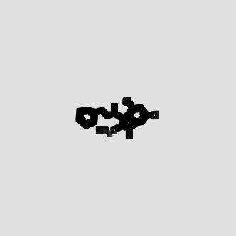 O=C(O)c1[nH]c2cc(Cl)cc(Cl)c2c1NCCc1ccccc1